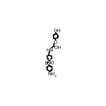 Nc1ccc(S(=O)(=O)N2CCC(CNC[C@H](O)COc3ccc(O)cc3)CC2)cc1